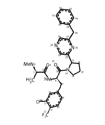 CN[C@H](C)C(=O)N[C@H](Cc1ccc(C(F)(F)F)c(Cl)c1)C(=O)N1CCCC1c1cncc(Cc2ccccc2)n1